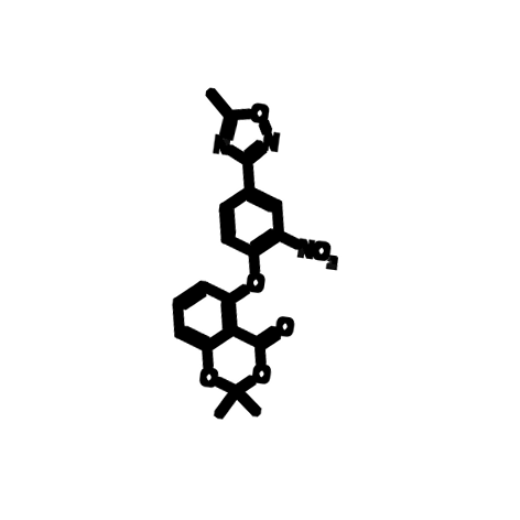 Cc1nc(-c2ccc(Oc3cccc4c3C(=O)OC(C)(C)O4)c([N+](=O)[O-])c2)no1